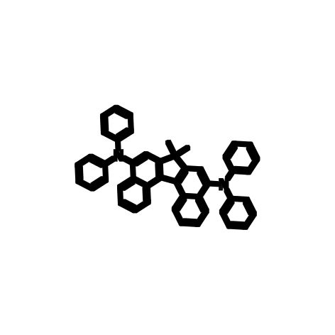 CC1(C)c2cc(N(c3ccccc3)c3ccccc3)c3ccccc3c2-c2c1cc(N(c1ccccc1)c1ccccc1)c1ccccc21